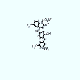 CCOC(=O)N1c2ccc(C(F)(F)F)cc2[C@@H](Nc2ncc(Cc3cc(C(F)(F)F)cc(C(F)(F)F)c3)c(O)n2)C[C@H]1CC